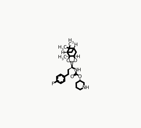 CC1(C)[C@@H]2C[C@H]3OB([C@H](CCc4ccc(F)cc4)NC(=O)O[C@H]4CCCNC4)O[C@@]3(C)[C@H]1C2